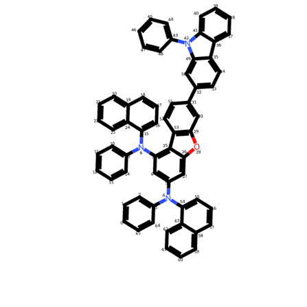 c1ccc(N(c2cc(N(c3ccccc3)c3cccc4ccccc34)c3c(c2)oc2cc(-c4ccc5c6ccccc6n(-c6ccccc6)c5c4)ccc23)c2cccc3ccccc23)cc1